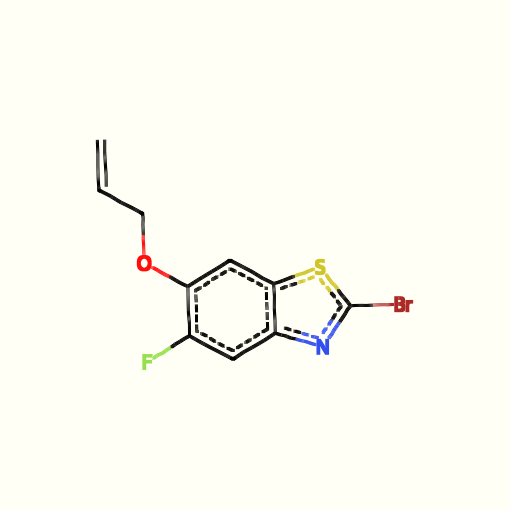 C=CCOc1cc2sc(Br)nc2cc1F